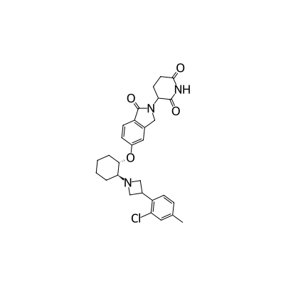 Cc1ccc(C2CN([C@H]3CCCC[C@@H]3Oc3ccc4c(c3)CN(C3CCC(=O)NC3=O)C4=O)C2)c(Cl)c1